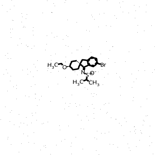 CCO[C@H]1CC[C@]2(CC1)Cc1ccc(Br)cc1C2=N[S+]([O-])C(C)C